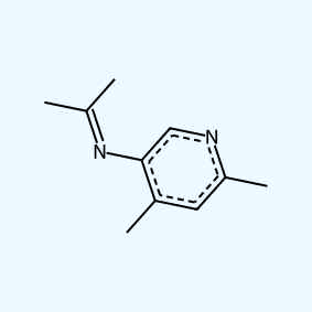 CC(C)=Nc1cnc(C)cc1C